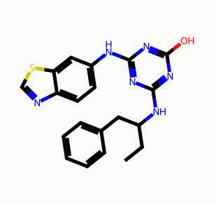 CCC(Cc1ccccc1)Nc1nc(O)nc(Nc2ccc3ncsc3c2)n1